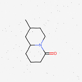 CC1CCN2C(=O)CCCC2C1